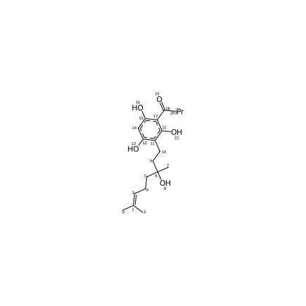 CC(C)=CCCC(C)(O)CCc1c(O)cc(O)c(C(=O)C(C)C)c1O